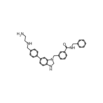 NCCNCc1ccc(-c2ccc3c(c2)N(Cc2cccc(C(=O)NCc4ccccc4)c2)CN3)cc1